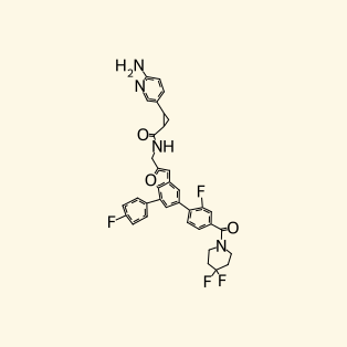 Nc1ccc(C2CC2C(=O)NCc2cc3cc(-c4ccc(C(=O)N5CCC(F)(F)CC5)cc4F)cc(-c4ccc(F)cc4)c3o2)cn1